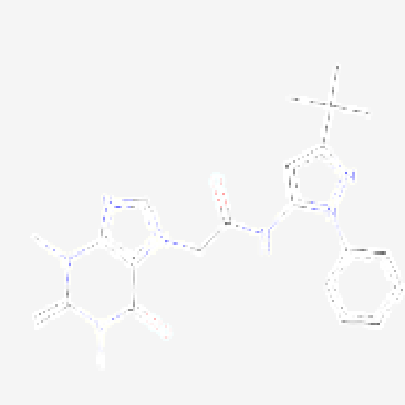 C=C1N(C)C(=O)c2c(ncn2CC(=O)Nc2cc(C(C)(C)C)nn2-c2ccccc2)N1C